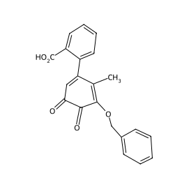 CC1=C(OCc2ccccc2)C(=O)C(=O)C=C1c1ccccc1C(=O)O